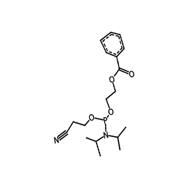 CC(C)N(C(C)C)P(OCCC#N)OCCOC(=O)c1ccccc1